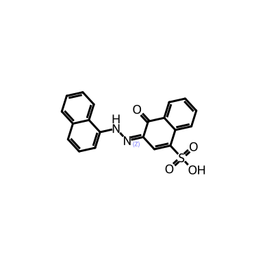 O=C1/C(=N\Nc2cccc3ccccc23)C=C(S(=O)(=O)O)c2ccccc21